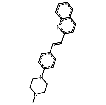 CN1CCN(c2ccc(C=Cc3ccc4ccccc4n3)cc2)CC1